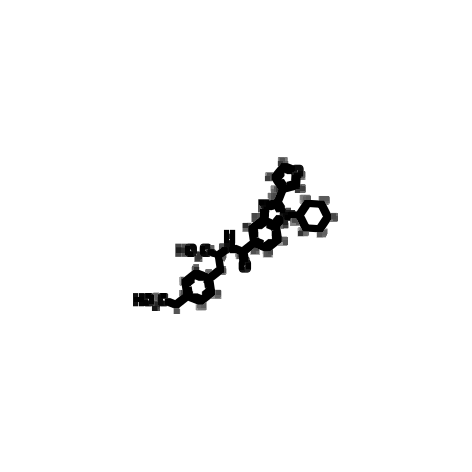 O=C(O)Cc1ccc(C[C@H](NC(=O)c2ccc3c(c2)nc(-c2ccoc2)n3C2CCCCC2)C(=O)O)cc1